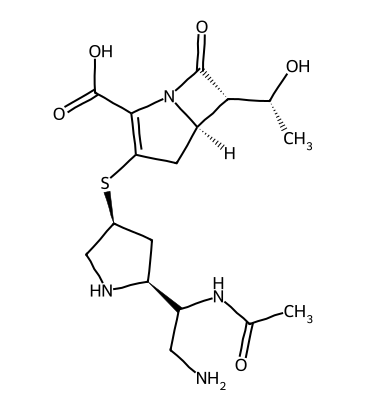 CC(=O)NC(CN)[C@@H]1C[C@H](SC2=C(C(=O)O)N3C(=O)[C@H]([C@@H](C)O)[C@H]3C2)CN1